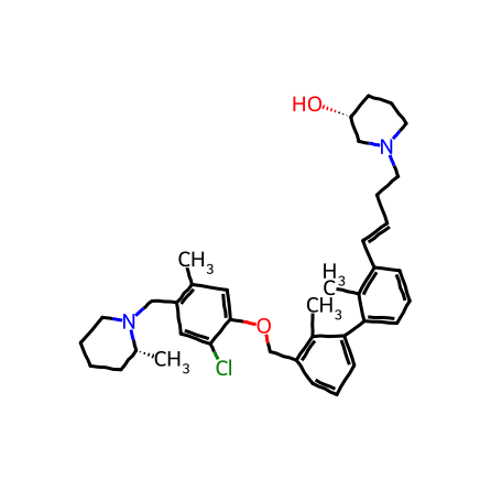 Cc1cc(OCc2cccc(-c3cccc(/C=C/CCN4CCC[C@@H](O)C4)c3C)c2C)c(Cl)cc1CN1CCCC[C@H]1C